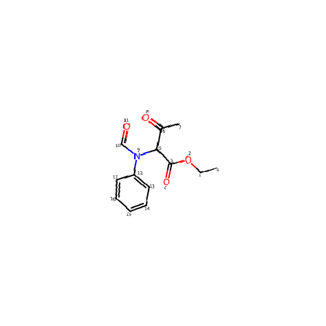 CCOC(=O)C(C(C)=O)N(C=O)c1ccccc1